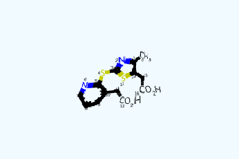 Cc1nc(Sc2ncccc2CC(=O)O)sc1CC(=O)O